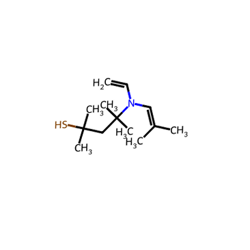 C=CN(C=C(C)C)C(C)(C)CC(C)(C)S